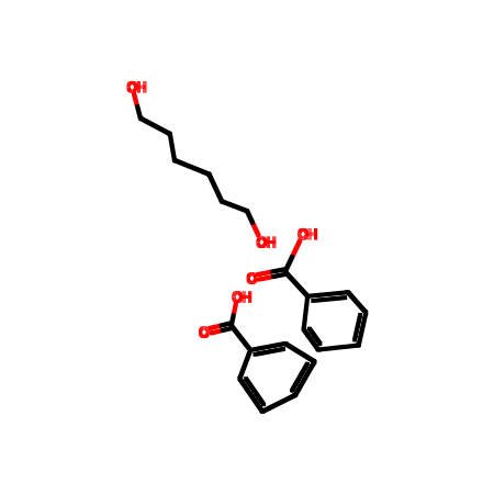 O=C(O)c1ccccc1.O=C(O)c1ccccc1.OCCCCCCO